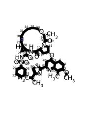 COc1ccc2c(O[C@@H]3C[C@H]4C(=O)N[C@]5(C(=O)NS(=O)(=O)c6ccccc6)C[C@H]5/C=C\CCCCO[C@H](C)C(=O)N4C3)cc(-c3nc(C(C)C)cs3)nc2c1C